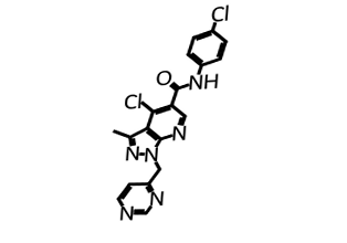 Cc1nn(Cc2ccncn2)c2ncc(C(=O)Nc3ccc(Cl)cc3)c(Cl)c12